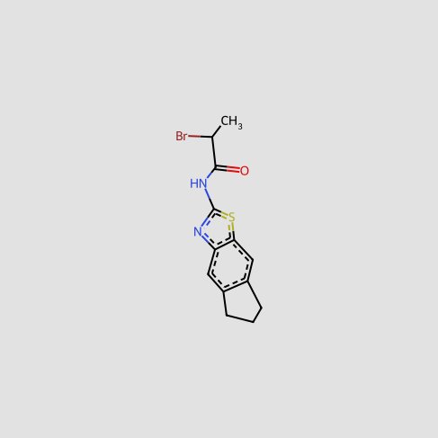 CC(Br)C(=O)Nc1nc2cc3c(cc2s1)CCC3